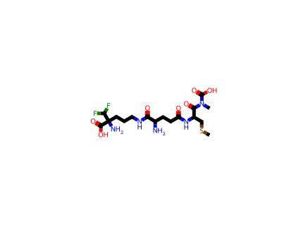 CSCC(NC(=O)CCC(N)C(=O)NCCCC(N)(C(=O)O)C(F)F)C(=O)N(C)C(=O)O